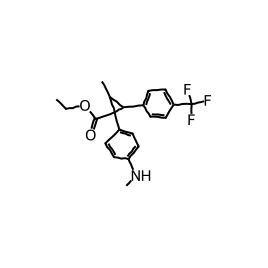 CCOC(=O)C1(c2ccc(NC)cc2)C(C)C1c1ccc(C(F)(F)F)cc1